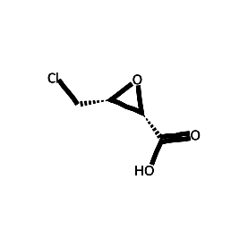 O=C(O)[C@H]1O[C@H]1CCl